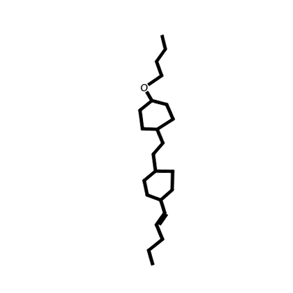 CCCC=CC1CCC(CCC2CCC(OCCCC)CC2)CC1